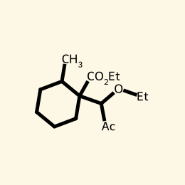 CCOC(=O)C1(C(OCC)C(C)=O)CCCCC1C